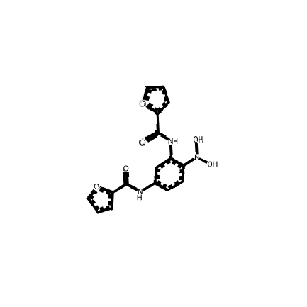 O=C(Nc1ccc(N(O)O)c(NC(=O)c2ccco2)c1)c1ccco1